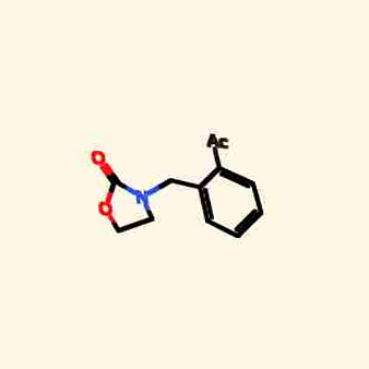 CC(=O)c1ccccc1CN1CCOC1=O